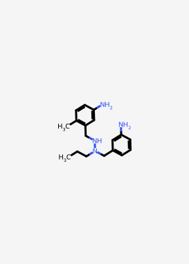 CCCN(Cc1cccc(N)c1)NCc1cc(N)ccc1C